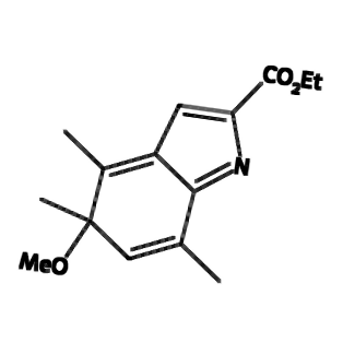 CCOC(=O)C1=CC2=C(C)C(C)(OC)C=C(C)C2=N1